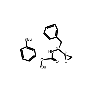 CC(C)(C)OC(=O)N[C@@H](Cc1ccccc1)[C@H]1CO1.CCCCc1ccccc1